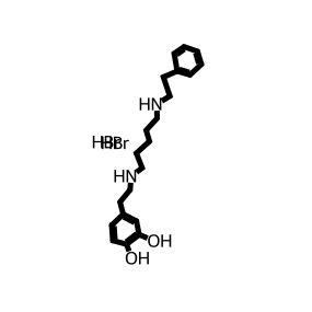 Br.Br.Oc1ccc(CCNCCCCCNCCc2ccccc2)cc1O